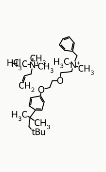 C=CC[N+](C)(C)C.CC(C)(C)CC(C)(C)c1ccc(OCCOCC[N+](C)(C)Cc2ccccc2)cc1.Cl